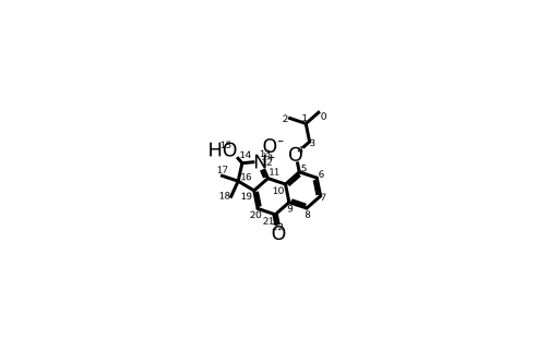 CC(C)COc1cccc2c1C1=[N+]([O-])C(O)C(C)(C)C1=CC2=O